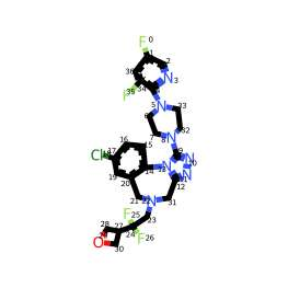 Fc1cnc(N2CCN(c3nnc4n3-c3ccc(Cl)cc3CN(CC(F)(F)C3COC3)C4)CC2)c(F)c1